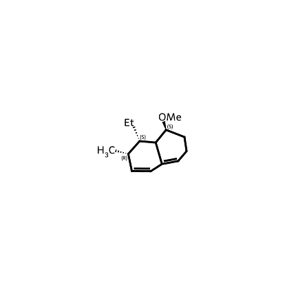 CC[C@@H]1C2C(=CCC[C@@H]2OC)C=C[C@@H]1C